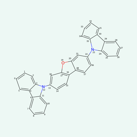 c1ccc2c(c1)c1ccccc1n2-c1ccc2c(c1)oc1cc(-n3c4ccccc4c4ccccc43)ccc12